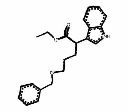 CCOC(=O)C(CCCOCc1ccccc1)c1c[nH]c2ccccc12